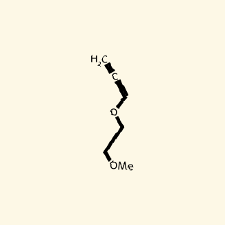 C=C=COCCOC